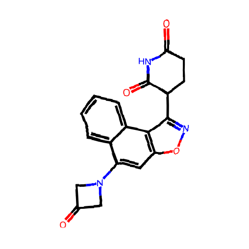 O=C1CN(c2cc3onc(C4CCC(=O)NC4=O)c3c3ccccc23)C1